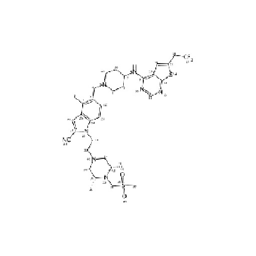 Cc1c(CN2CCC(Nc3ncnc4sc(CC(F)(F)F)cc34)CC2)ccc2c1cc(C#N)n2CCN1C[C@@H](C)N(CS(C)(=O)=O)[C@@H](C)C1